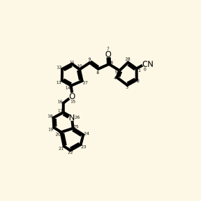 N#Cc1cccc(C(=O)C=Cc2cccc(OCc3ccc4ccccc4n3)c2)c1